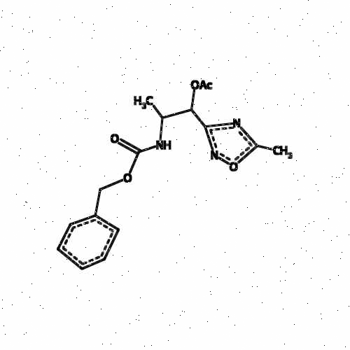 CC(=O)OC(c1noc(C)n1)C(C)NC(=O)OCc1ccccc1